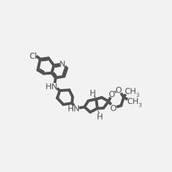 CC1(C)COC2(C[C@H]3CC(NC4CCC(Nc5ccnc6cc(Cl)ccc56)CC4)C[C@H]3C2)OO1